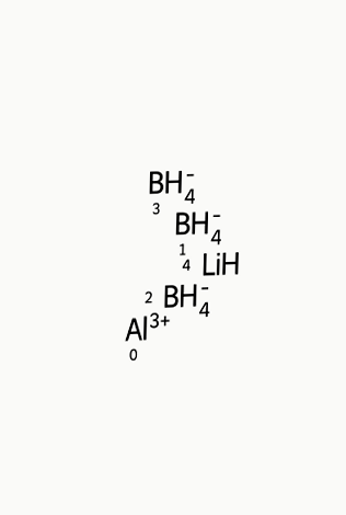 [Al+3].[BH4-].[BH4-].[BH4-].[LiH]